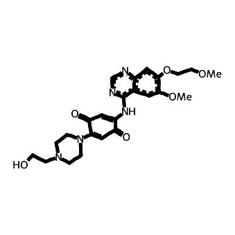 COCCOc1cc2ncnc(NC3=CC(=O)C(N4CCN(CCO)CC4)=CC3=O)c2cc1OC